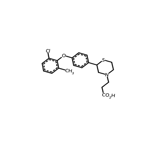 Cc1cccc(Cl)c1Oc1ccc(C2CN(CCC(=O)O)CCS2)cc1